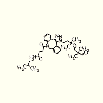 CC(C)CCNC(=O)CCC(=O)N1Cc2ccccc2-c2c(nnn2CCC(C)(C)OCC(C)(C)C=O)-c2ccccc21